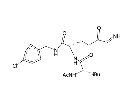 CCC(C)[C@H](NC(C)=O)C(=O)N[C@@H](CCC(=O)C=N)C(=O)NCc1ccc(Cl)cc1